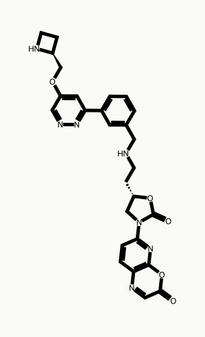 O=C1O[C@@H](CCNCc2cccc(-c3cc(OC[C@@H]4CCN4)cnn3)c2)CN1c1ccc2ncc(=O)oc2n1